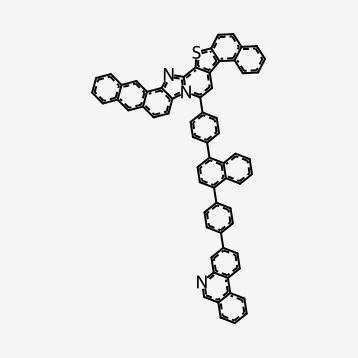 c1ccc2cc3c(ccc4c3nc3c5sc6ccc7ccccc7c6c5cc(-c5ccc(-c6ccc(-c7ccc(-c8ccc9c(c8)ncc8ccccc89)cc7)c7ccccc67)cc5)n43)cc2c1